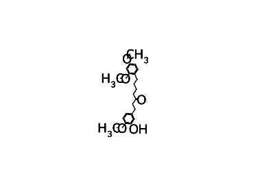 COc1ccc(CCCCC(=O)CCc2ccc(OC)c(O)c2)c(OC)c1